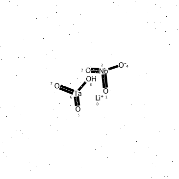 [Li+].[O]=[Nb](=[O])[O-].[O]=[Ta](=[O])[OH]